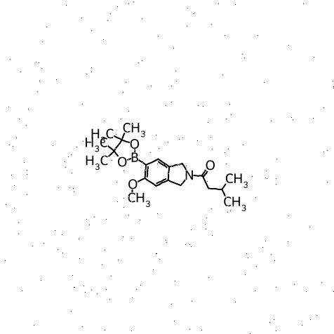 COc1cc2c(cc1B1OC(C)(C)C(C)(C)O1)CN(C(=O)CC(C)C)C2